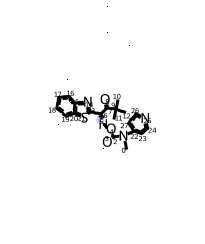 CN(C(=O)O/N=C(\C(=O)C(C)(C)C)c1nc2ccccc2s1)c1ccncc1